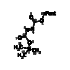 CCCCCOC(=O)N=NC(=O)O[Si](C)(C)C